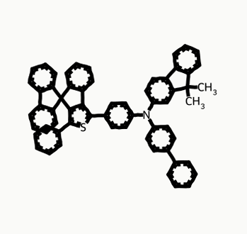 CC1(C)c2ccccc2-c2ccc(N(c3ccc(-c4ccccc4)cc3)c3ccc(-c4sc(-c5ccccc5)c5c4-c4ccccc4C54c5ccccc5-c5ccccc54)cc3)cc21